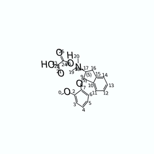 COc1ccccc1O[C@H]1c2ccccc2C[C@@H]1N(C)C.O=C(O)C(=O)O